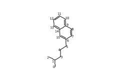 CC(C)CCCc1ccc2ccccc2c1